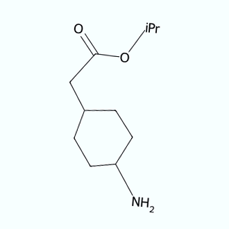 CC(C)OC(=O)CC1CCC(N)CC1